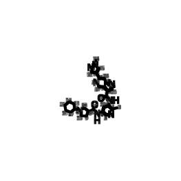 Cc1ncc(NC(=O)[C@H]2CCN(C3CCCCC3)C2)cc1NC(=O)c1cnn2cc(-c3cnn(C)c3)ncc12